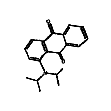 CC(C)N(c1cccc2c1C(=O)c1ccccc1C2=O)C(C)C